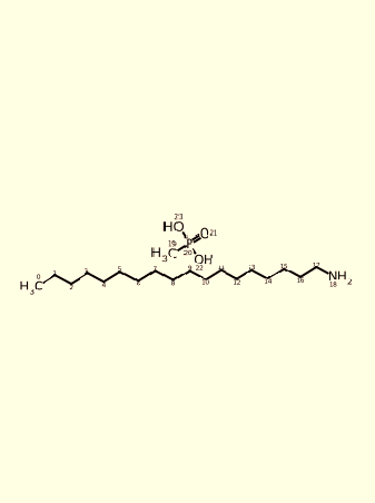 CCCCCCCCCCCCCCCCCCN.CP(=O)(O)O